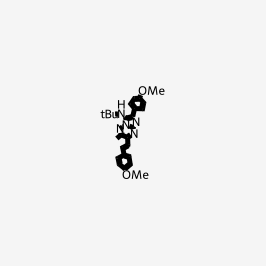 COc1ccc(C=Cc2nc3nc(-c4ccc(OC)cc4)c(NC(C)(C)C)n3nc2C)cc1